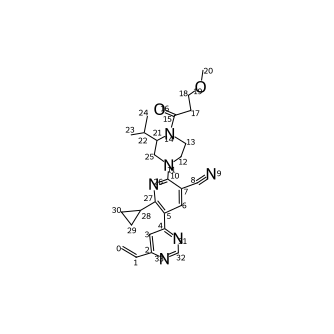 C=Cc1cc(-c2cc(C#N)c(N3CCN(C(=O)CCOC)C(C(C)C)C3)nc2C2CC2)ncn1